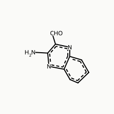 Nc1nc2ccccc2nc1C=O